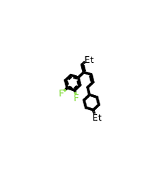 CC/C=C(\C=C/CC1CCC(CC)CC1)c1ccc(F)c(F)c1